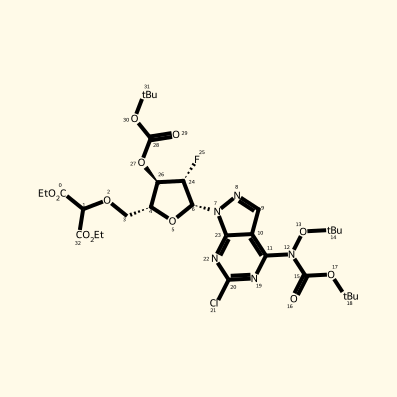 CCOC(=O)C(OC[C@H]1O[C@@H](n2ncc3c(N(OC(C)(C)C)C(=O)OC(C)(C)C)nc(Cl)nc32)[C@@H](F)[C@@H]1OC(=O)OC(C)(C)C)C(=O)OCC